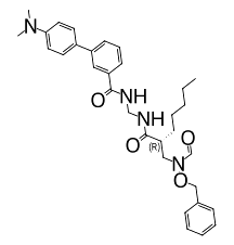 CCCCC[C@H](CN(C=O)OCc1ccccc1)C(=O)NCNC(=O)c1cccc(-c2ccc(N(C)C)cc2)c1